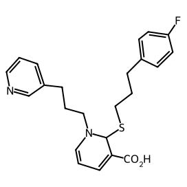 O=C(O)C1=CC=CN(CCCc2cccnc2)C1SCCCc1ccc(F)cc1